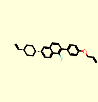 C=CCOc1ccc(-c2ccc3cc([C@H]4CC[C@H](C=C)CC4)ccc3c2F)cc1